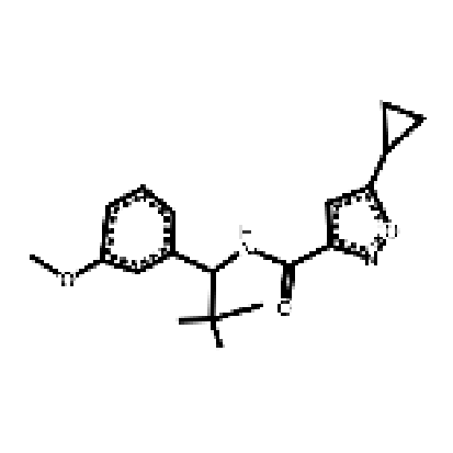 COc1cccc(C(NC(=O)c2cc(C3CC3)on2)C(C)(C)C)c1